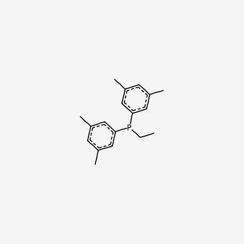 CCP(c1cc(C)cc(C)c1)c1cc(C)cc(C)c1